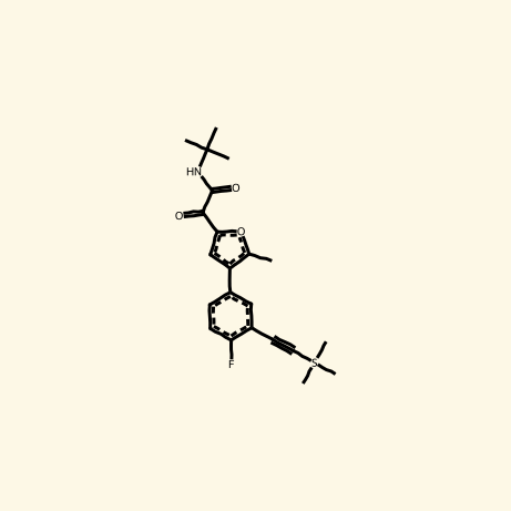 Cc1oc(C(=O)C(=O)NC(C)(C)C)cc1-c1ccc(F)c(C#CS(C)(C)C)c1